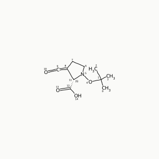 CC(C)(C)ON1CCC(=C=O)[C@H]1C(=O)O